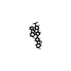 CC(C)c1ccc2c(c1)C1(c3ccccc3-c3ccccc31)c1cc(-c3ccc4c(c3)oc3ccccc34)ccc1-2